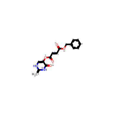 C=C1NC=C(OC(=O)/C=C/C(=O)OCc2ccccc2)C(=O)N1